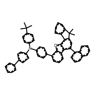 CC(C)(C)c1ccc(N(c2ccc(-c3ccccc3)cc2)c2ccc(-c3cccc4c3oc3c5c(cc(-c6cccc7ccccc67)c34)C(C)(C)c3ccccc3-5)cc2)cc1